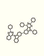 c1ccc(-c2nc(-n3c4ccccc4c4cc(-c5ccc6c(c5)c5c(-c7ccccc7)nc(-c7ccccc7)nc5n6-c5ccccc5)ccc43)c3ccccc3n2)cc1